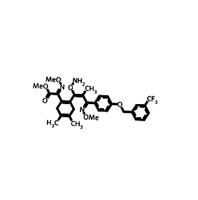 CON=C(C(=O)OC)C1=C(C(ON)=C(C)C(=NOC)c2ccc(OCc3cccc(C(F)(F)F)c3)cc2)CC(C)=C(C)C1